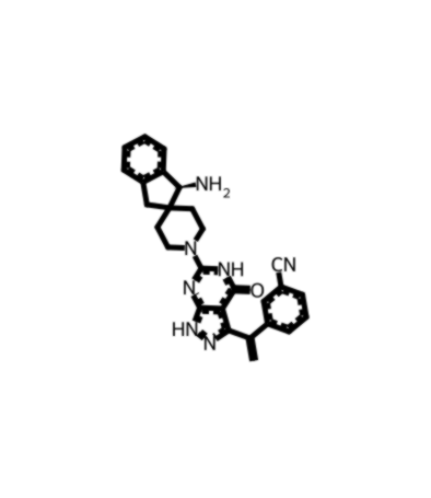 C=C(c1cccc(C#N)c1)c1n[nH]c2nc(N3CCC4(CC3)Cc3ccccc3[C@H]4N)[nH]c(=O)c12